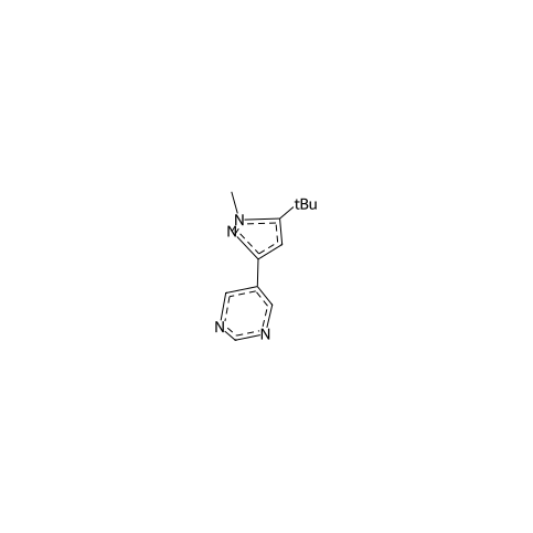 Cn1nc(-c2cncnc2)cc1C(C)(C)C